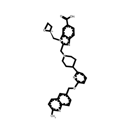 Cc1ccc2cc(COc3cccc(C4CCN(Cc5nc6ccc(C(=O)O)cc6n5C[C@@H]5CCO5)CC4)n3)ccc2n1